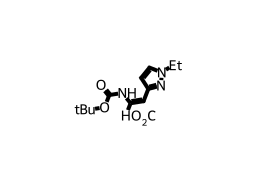 CCn1ccc(C=C(NC(=O)OC(C)(C)C)C(=O)O)n1